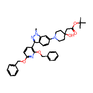 Cn1nc(-c2ccc(OCc3ccccc3)nc2OCc2ccccc2)c2ccc(N3CCC(O)(CC(=O)OC(C)(C)C)CC3)cc21